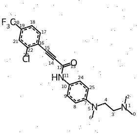 CN(C)CCN(C)c1ccc(NC(=O)C#Cc2ccc(C(F)(F)F)cc2Cl)cc1